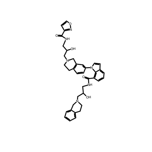 O=C(NCC(O)CN1CCc2ccc(-n3ccc4cccc(C(=O)NCC(O)CN5CCc6ccccc6C5)c43)cc2C1)c1ccon1